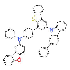 c1ccc(-c2ccc3c4ccccc4n(-c4cc(-c5ccc(N(c6ccccc6)c6ccc7oc8ccccc8c7c6)cc5)c5sc6ccccc6c5c4)c3c2)cc1